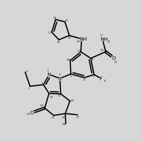 CCc1nn(-c2cc(F)c(C(N)=O)c(NC3CC=CC3)c2)c2c1C(=O)CC(C)(C)C2